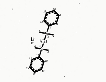 C[Si](C)([Cu][Si](C)(C)c1ccccc1)c1ccccc1.[Li]